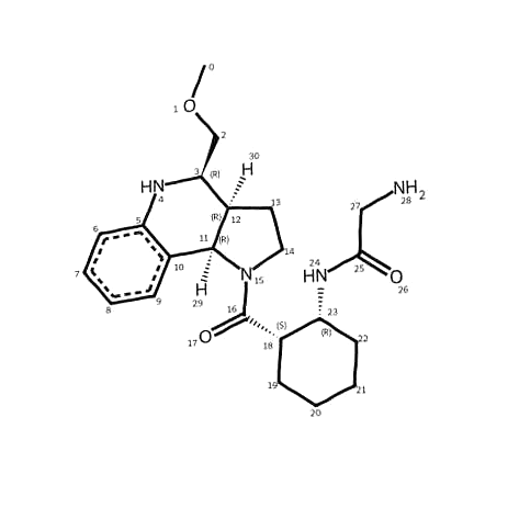 COC[C@@H]1Nc2ccccc2[C@H]2[C@@H]1CCN2C(=O)[C@H]1CCCC[C@H]1NC(=O)CN